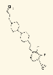 C=CCCC1CCC(C2CCC(CCc3ccc(C4CO4)c(F)c3Cl)CC2)CC1